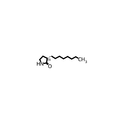 CCCCCCCC[C@H]1CCNC1=O